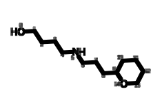 OCCCCNCCCC1CCCCO1